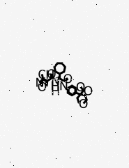 Cc1nocc1C(=O)NC(C(=O)Nc1ccc2c(c1)OC(=O)C21CCOCC1)C1CCCCCC1